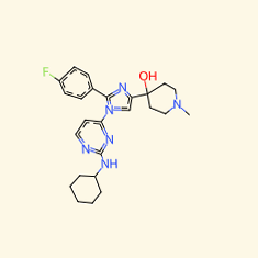 CN1CCC(O)(c2cn(-c3ccnc(NC4CCCCC4)n3)c(-c3ccc(F)cc3)n2)CC1